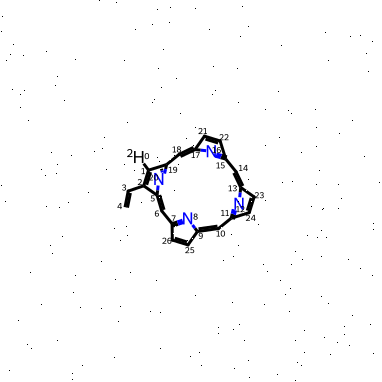 [2H]C1=C(C=C)C2=CC3=NC(=CC4=NC(=CC5=NC(=CC1=N2)C=C5)C=C4)C=C3